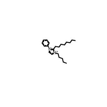 CCCCCCCCc1n(-c2ccccc2)cc[n+]1CCCCC